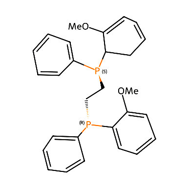 COC1=CC=CCC1[P@@](CC[P@@](c1ccccc1)c1ccccc1OC)c1ccccc1